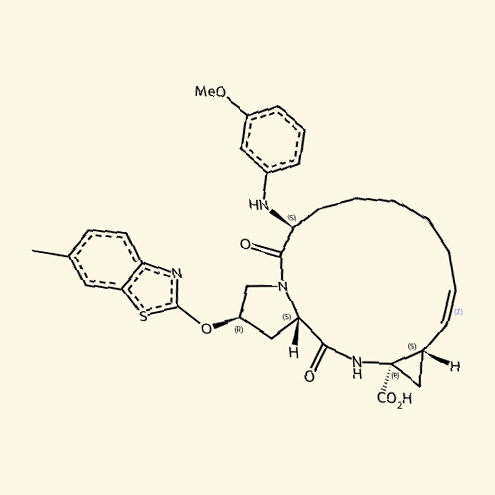 COc1cccc(N[C@H]2CCCCC/C=C\[C@@H]3C[C@@]3(C(=O)O)NC(=O)[C@@H]3C[C@@H](Oc4nc5ccc(C)cc5s4)CN3C2=O)c1